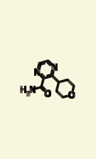 NC(=O)c1nccnc1C1CCOCC1